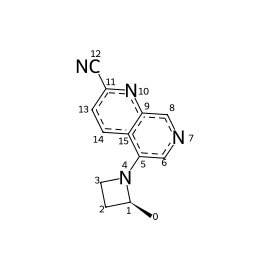 C[C@H]1CCN1c1cncc2nc(C#N)ccc12